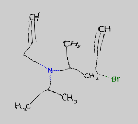 C#CCBr.C#CCN(C(C)C)C(C)C